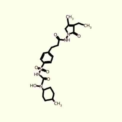 CCC1=C(C)CN(NC(=O)CCc2ccc(S(=O)(=O)NC(=O)N(O)C3CCC(C)CC3)cc2)C1=O